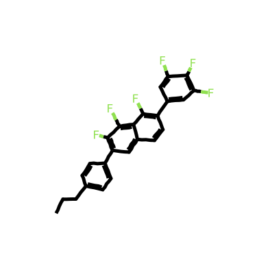 CCCc1ccc(-c2cc3ccc(-c4cc(F)c(F)c(F)c4)c(F)c3c(F)c2F)cc1